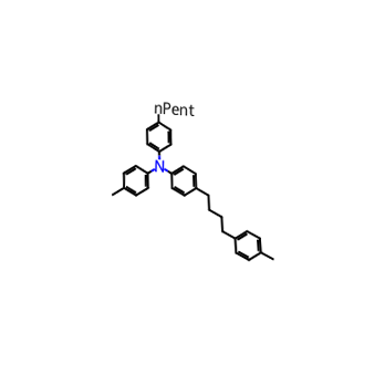 CCCCCc1ccc(N(c2ccc(C)cc2)c2ccc(CCCCc3ccc(C)cc3)cc2)cc1